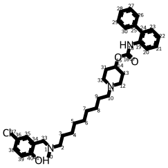 CN(CCCCCCCCCN1CCC(OC(=O)Nc2ccccc2-c2ccccc2)CC1)Cc1cc(Cl)ccc1O